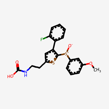 COc1cccc([S+]([O-])c2sc(CCNC(=O)O)cc2-c2ccccc2F)c1